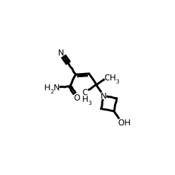 CC(C)(C=C(C#N)C(N)=O)N1CC(O)C1